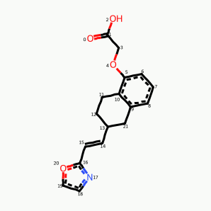 O=C(O)COc1cccc2c1CCC(C=Cc1ncco1)C2